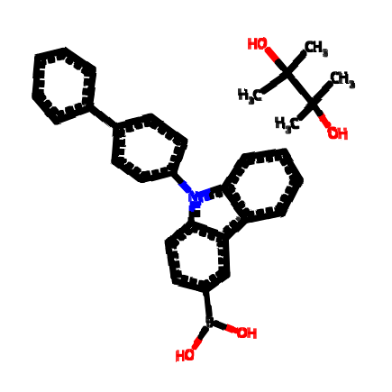 CC(C)(O)C(C)(C)O.OB(O)c1ccc2c(c1)c1ccccc1n2-c1ccc(-c2ccccc2)cc1